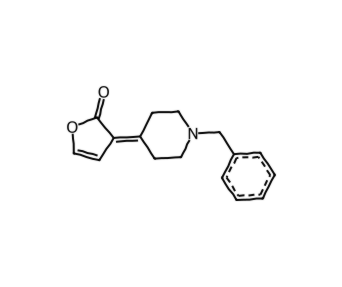 O=C1OC=CC1=C1CCN(Cc2ccccc2)CC1